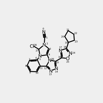 N#CN1C=C2N(c3ccccc3-c3nnc(-c4nc(C5CCCC5)no4)n32)C1Cl